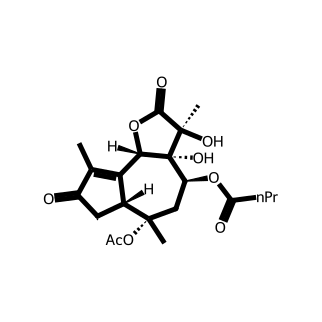 CCCC(=O)O[C@H]1C[C@](C)(OC(C)=O)[C@@H]2[CH]C(=O)C(C)=C2[C@@H]2OC(=O)[C@@](C)(O)[C@@]12O